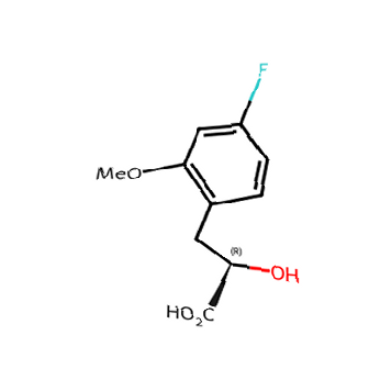 COc1cc(F)ccc1C[C@@H](O)C(=O)O